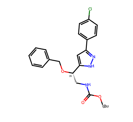 CC(C)(C)OC(=O)NC[C@H](OCc1ccccc1)c1cc(-c2ccc(Cl)cc2)n[nH]1